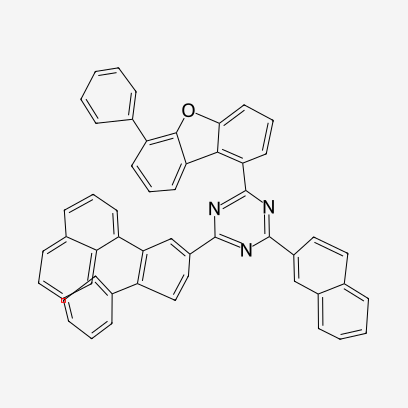 c1ccc(-c2ccc(-c3nc(-c4ccc5ccccc5c4)nc(-c4cccc5oc6c(-c7ccccc7)cccc6c45)n3)cc2-c2cccc3ccccc23)cc1